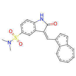 CN(C)S(=O)(=O)c1ccc2c(c1)/C(=C/c1ccc3cccccc1-3)C(=O)N2